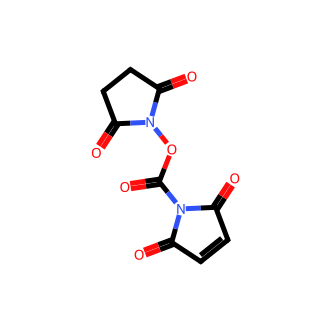 O=C1CCC(=O)N1OC(=O)N1C(=O)C=CC1=O